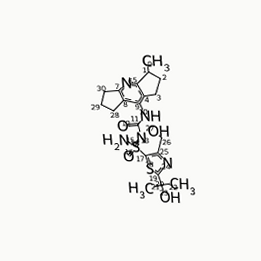 CC1CCc2c1nc1c(c2NC(=O)N=S(N)(=O)c2sc(C(C)(C)O)nc2CO)CCC1